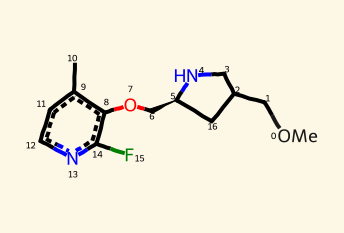 COCC1CN[C@H](COc2c(C)ccnc2F)C1